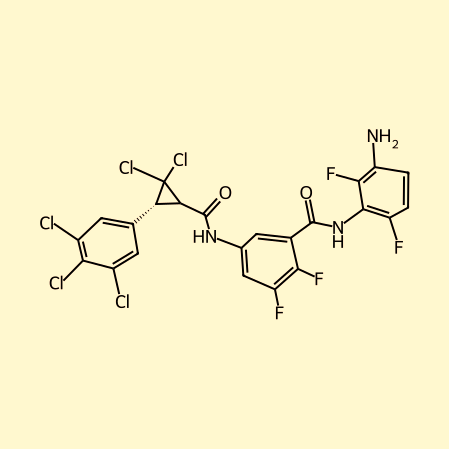 Nc1ccc(F)c(NC(=O)c2cc(NC(=O)C3[C@H](c4cc(Cl)c(Cl)c(Cl)c4)C3(Cl)Cl)cc(F)c2F)c1F